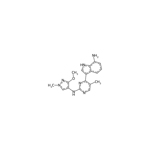 COc1nn(C)cc1Nc1ncc(C)c(-c2c[nH]c3c(N)cccc23)n1